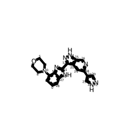 c1cc(N2CCOCC2)c2nc(-c3n[nH]c4cnc(-c5cn[nH]c5)cc34)[nH]c2c1